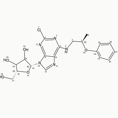 C[C@H](CNc1nc(Cl)nc2c1ncn2[C@@H]1O[C@H](CO)C(O)C1O)Oc1ccccc1